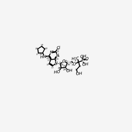 CC(CCO)(OC[C@H]1O[C@@H](n2ccc3c(NC4CCCC4)nc(Cl)nc32)[C@H](O)[C@@H]1O)P(=O)(O)O